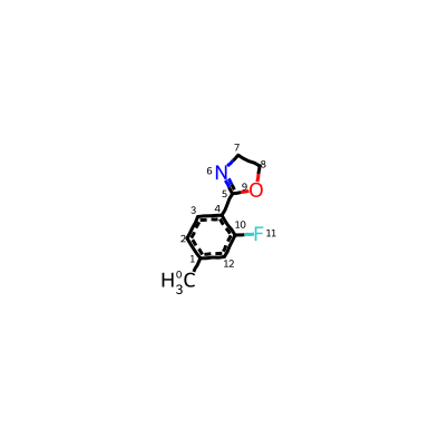 Cc1ccc(C2=NCCO2)c(F)c1